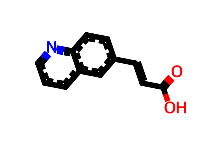 O=C(O)C=Cc1ccc2ncccc2c1